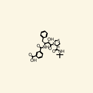 CC(C)(C)NC(=O)[C@@H]1CSCN1C(=O)[C@@H](O)[C@H](Cc1ccccc1)NC(=O)c1cccc(C(=O)O)c1